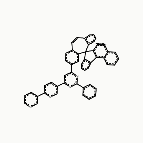 C1=Cc2ccc(-c3cc(-c4ccc(-c5cccnc5)nc4)nc(-c4ccccc4)n3)cc2C2(c3ccccc31)c1ccccc1-c1c2c2ccccc2c2ccccc12